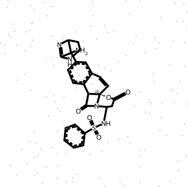 NC1(c2ccc3c(c2)C=C[C@@]24OC(=O)CC(NS(=O)(=O)c5ccccc5)N2C(=O)C34)C2=NC1CCN2